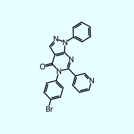 O=c1c2cnn(-c3ccccc3)c2nc(-c2cccnc2)n1-c1ccc(Br)cc1